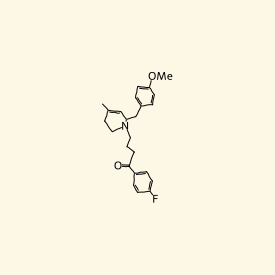 COc1ccc(CC2C=C(C)CCN2CCCC(=O)c2ccc(F)cc2)cc1